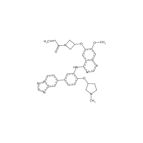 C=CC(=O)N1CC(Oc2cc3c(Nc4cc(-c5ccn6ncnc6c5)ccc4OC4CCN(C)C4)ncnc3cc2OC)C1